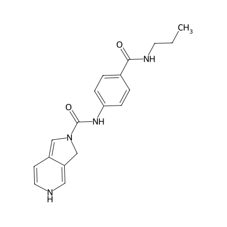 CCCNC(=O)c1ccc(NC(=O)N2C=C3C=CNC=C3C2)cc1